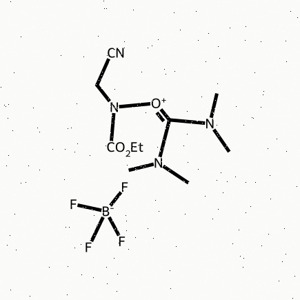 CCOC(=O)N(CC#N)[O+]=C(N(C)C)N(C)C.F[B-](F)(F)F